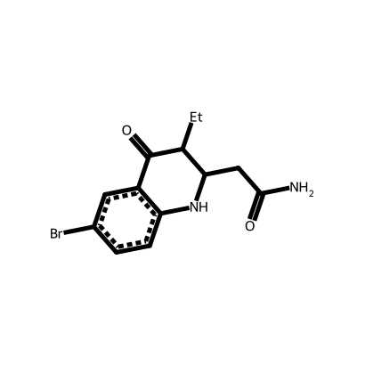 CCC1C(=O)c2cc(Br)ccc2NC1CC(N)=O